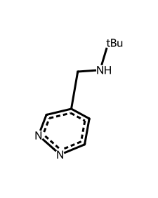 CC(C)(C)NCc1ccnnc1